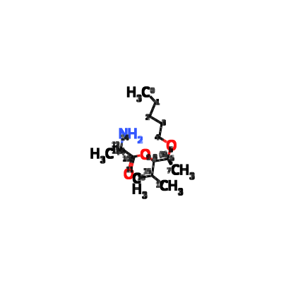 CCCCCO[C@@H](C)C(OC(=O)[C@H](C)N)C(C)C